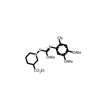 CCOC(=O)C1CCCN(S/C(=N/c2cc(OC)c(OC)cc2C#N)OC)C1